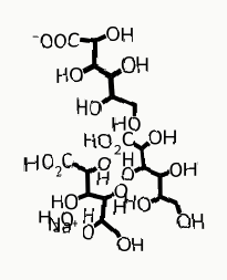 O.O=C(O)C(O)C(O)C(O)C(O)CO.O=C(O)C(O)C(O)C(O)C(O)CO.O=C([O-])C(O)C(O)C(O)C(O)CO.[Na+]